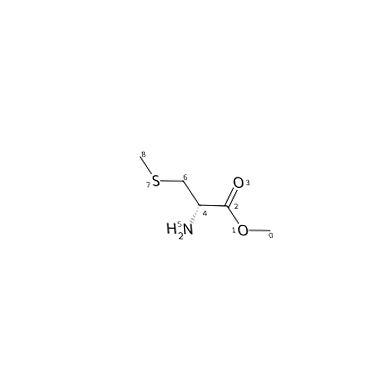 COC(=O)[C@H](N)CSC